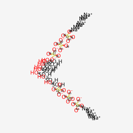 O=S(=O)(O)O.O=S(=O)(O)O.O=S(=O)(O)O.O=S(=O)(O)O.O=S(=O)(O)O.O=S(=O)(O)O.O=S(=O)(O)O.O=S(=O)(O)O.O=S(=O)([O-])[O-].O=S(=O)([O-])[O-].O=S(=O)([O-])[O-].O=S(=O)([O-])[O-].O=S(=O)([O-])[O-].O=S(=O)([O-])[O-].[Na+].[Na+].[Na+].[Na+].[Na+].[Na+].[Na+].[Na+].[Na+].[Na+].[Na+].[Na+]